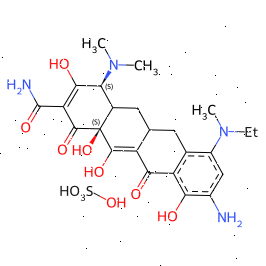 CCN(C)c1cc(N)c(O)c2c1CC1CC3[C@H](N(C)C)C(O)=C(C(N)=O)C(=O)[C@@]3(O)C(O)=C1C2=O.O=S(=O)(O)O